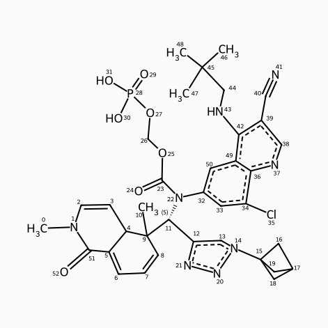 CN1C=CC2C(=CC=CC2(C)[C@@H](c2cn(C34CC(C3)C4)nn2)N(C(=O)OCOP(=O)(O)O)c2cc(Cl)c3ncc(C#N)c(NCC(C)(C)C)c3c2)C1=O